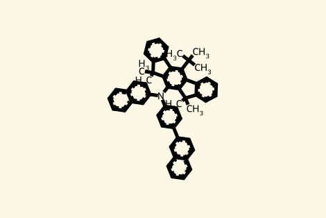 CC(C)(C)c1c2c(c(N(c3ccc(-c4ccc5ccccc5c4)cc3)c3ccc4ccccc4c3)c3c1-c1ccccc1C3(C)C)C(C)(C)c1ccccc1-2